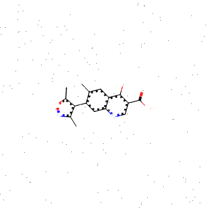 Cc1cc2c(O)c(C(=O)O)cnc2cc1-c1c(C)noc1C